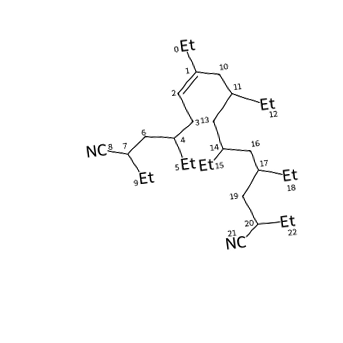 CCC(=CCC(CC)CC(C#N)CC)CC(CC)CC(CC)CC(CC)CC(C#N)CC